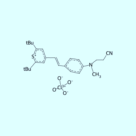 CN(CCC#N)c1ccc(C=Cc2cc(C(C)(C)C)[s+]c(C(C)(C)C)c2)cc1.[O-][Cl+3]([O-])([O-])[O-]